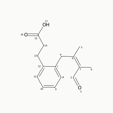 CC(C=O)=C(C)Cc1ccccc1CCC(=O)O